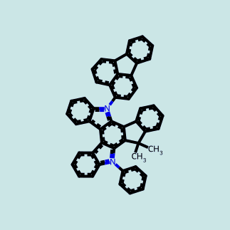 CC1(C)c2ccccc2-c2c1c1c(c3ccccc3n1-c1ccccc1)c1c3ccccc3n(-c3ccc4c5c(cccc35)-c3ccccc3-4)c21